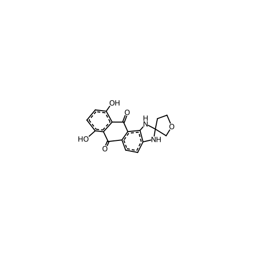 O=C1c2ccc3c(c2C(=O)c2c(O)ccc(O)c21)NC1(CCOC1)N3